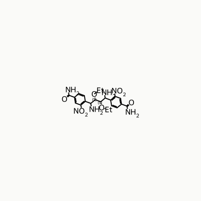 CCO[C@@H](C(N)c1ccc(C(N)=O)cc1[N+](=O)[O-])[C@@H](OCC)C(N)c1ccc(C(N)=O)cc1[N+](=O)[O-]